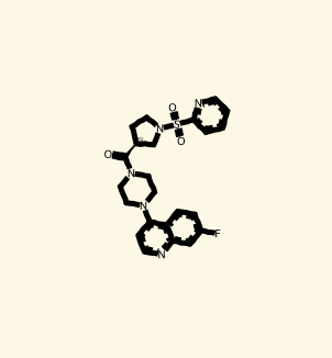 O=C([C@H]1CCN(S(=O)(=O)c2ccccn2)C1)N1CCN(c2ccnc3cc(F)ccc23)CC1